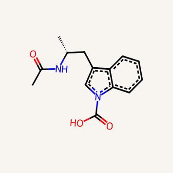 CC(=O)N[C@H](C)Cc1cn(C(=O)O)c2ccccc12